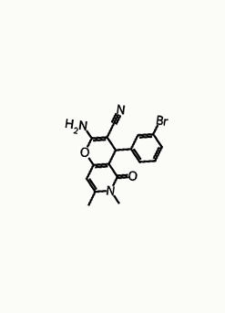 Cc1cc2c(c(=O)n1C)C(c1cccc(Br)c1)C(C#N)=C(N)O2